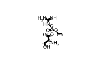 CCOP(=O)(ONC(=N)N)OC(=O)[C@@H](N)CO